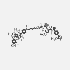 CC(=O)O[C@@H]1CC(C(=O)NC2(c3ccc(-c4scnc4C)cc3)CC2)N(C(=O)[C@@H](NC(=O)COCCCCCNc2ccc(C(=O)N[C@H]3C(C)(C)[C@H](Oc4ccc(C#N)c(Cl)c4)C3(C)C)cc2)C(C)(C)C)C1